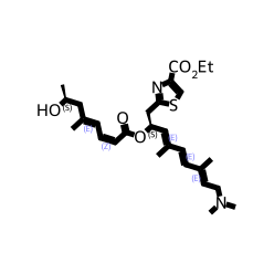 CCOC(=O)c1csc(C[C@@H](/C=C(C)/C=C/C(C)=C/CN(C)C)OC(=O)/C=C\C=C(/C)C[C@H](C)O)n1